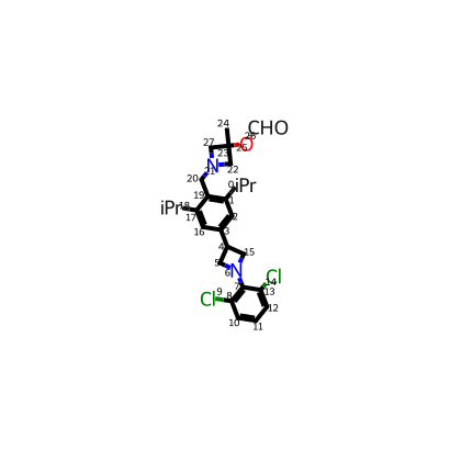 CC(C)c1cc(C2CN(c3c(Cl)cccc3Cl)C2)cc(C(C)C)c1CN1CC(C)(OC=O)C1